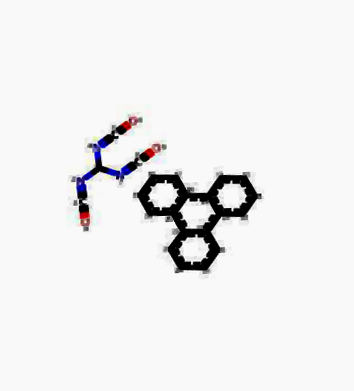 O=C=NC(N=C=O)N=C=O.c1ccc2c(c1)c1ccccc1c1ccccc21